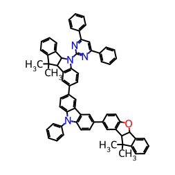 CC1(C)c2ccccc2C2Oc3ccc(-c4ccc5c(c4)c4cc(-c6ccc7c(c6)C6C(c8ccccc8C6(C)C)N7c6nc(-c7ccccc7)cc(-c7ccccc7)n6)ccc4n5-c4ccccc4)cc3C21